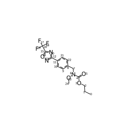 CCCOC(=O)N(Cc1ccc(-c2noc(C(F)(F)F)n2)cc1)OC